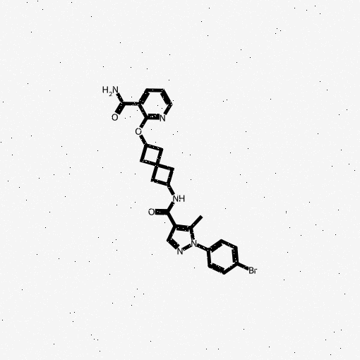 Cc1c(C(=O)NC2CC3(C2)CC(Oc2ncccc2C(N)=O)C3)cnn1-c1ccc(Br)cc1